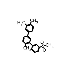 Cc1ccc(-c2ccc(C)c(-c3cccc(S(C)(=O)=O)c3)c2)cc1C